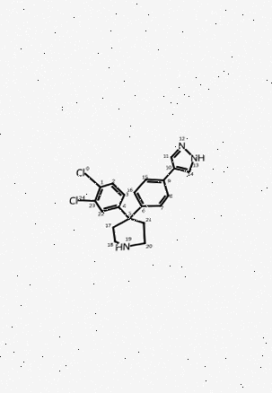 Clc1ccc(C2(c3ccc(-c4cn[nH]c4)cc3)CCNCC2)cc1Cl